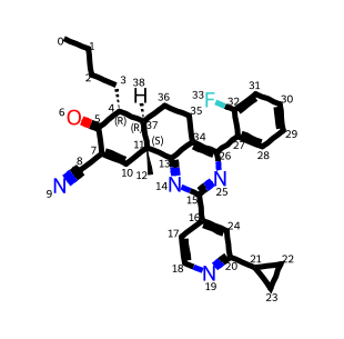 CCCC[C@H]1C(=O)C(C#N)=C[C@@]2(C)c3nc(-c4ccnc(C5CC5)c4)nc(-c4ccccc4F)c3CC[C@H]12